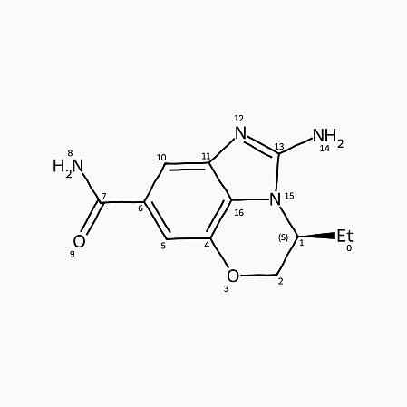 CC[C@H]1COc2cc(C(N)=O)cc3nc(N)n1c23